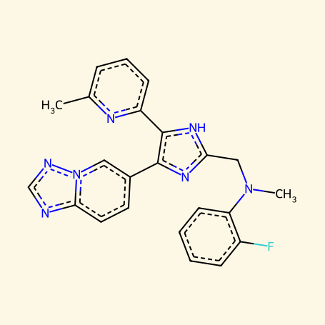 Cc1cccc(-c2[nH]c(CN(C)c3ccccc3F)nc2-c2ccc3ncnn3c2)n1